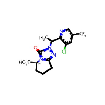 CC(c1ncc(C(F)(F)F)cc1Cl)n1nc2n(c1=O)[C@H](C(=O)O)CCC2